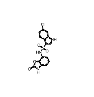 O=c1[nH]c2cccc(NS(=O)(=O)c3c[nH]c4cc(Cl)ccc34)c2o1